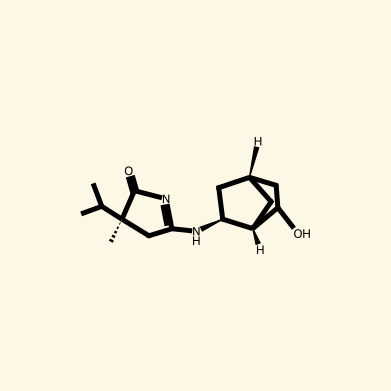 CC(C)[C@]1(C)CC(N[C@H]2C[C@@H]3CC(O)[C@H]2C3)=NC1=O